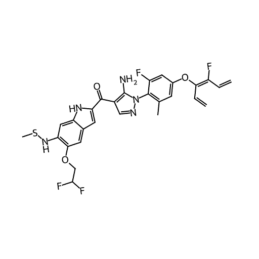 C=C/C(F)=C(\C=C)Oc1cc(C)c(-n2ncc(C(=O)c3cc4cc(OCC(F)F)c(NSC)cc4[nH]3)c2N)c(F)c1